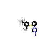 [2H]Cc1cc(C([2H])([2H])[2H])ccc1Sc1ccccc1N1CCNCC1